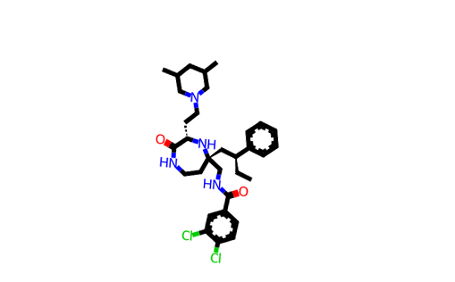 CC[C@@H](C[C@@]1(CNC(=O)c2ccc(Cl)c(Cl)c2)CCNC(=O)[C@H](CCN2CC(C)CC(C)C2)N1)c1ccccc1